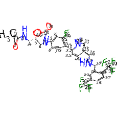 CC(=O)NC[C@H]1CN(c2ccc(-c3ccc(CNCc4cc(C(F)(F)F)ccc4C(F)(F)F)cn3)c(F)c2)C(=O)O1